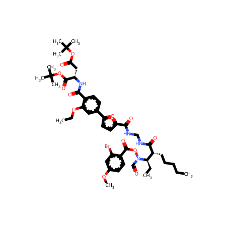 CCCCC[C@@H](C(=O)NCNC(=O)c1ccc(-c2ccc(C(=O)N[C@@H](CC(=O)OC(C)(C)C)C(=O)OC(C)(C)C)c(OCC)c2)o1)[C@@H](CC)N(C=O)OC(=O)c1ccc(OC)cc1Br